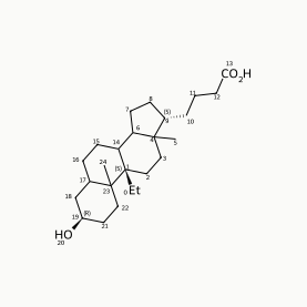 CC[C@]12CCC3(C)C(CC[C@@H]3CCCC(=O)O)C1CCC1C[C@H](O)CCC12C